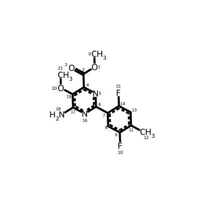 COC(=O)c1nc(-c2cc(F)c(C)cc2F)nc(N)c1OC